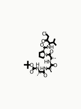 CC(C)C(NC(=O)[C@@H]1CCCN1C(=O)[C@H](C)NC(=O)[C@@H](C)NC(=O)[C@H](C)NC(=O)OC(C)(C)C)C(=O)CCl